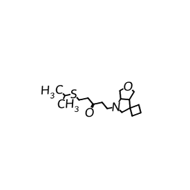 CC(C)SCCC(=O)CCN1CC2(CCC2)C2COCC21